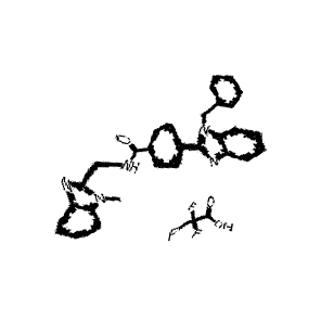 Cn1c(CNC(=O)c2ccc(-c3nc4ccccc4n3Cc3ccccc3)cc2)nc2ccccc21.O=C(O)C(F)(F)F